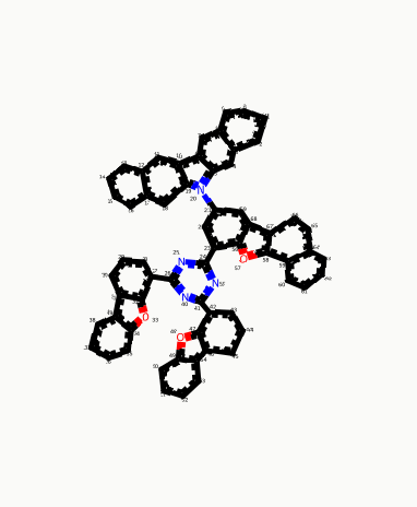 c1ccc2cc3c(cc2c1)c1cc2ccccc2cc1n3-c1cc(-c2nc(-c3cccc4c3oc3ccccc34)nc(-c3cccc4c3oc3ccccc34)n2)c2oc3c4ccccc4ccc3c2c1